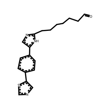 O=CCCCCCCc1ncc(-c2ccc(-c3cncs3)cc2)[nH]1